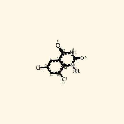 CCn1c(=O)[nH]c(=O)c2cc(Cl)cc(Cl)c21